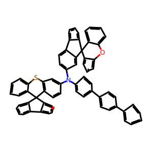 c1ccc(-c2ccc(-c3ccc(N(c4ccc5c(c4)Sc4ccccc4C54c5ccccc5-c5ccccc54)c4ccc5c(c4)C4(c6ccccc6Oc6ccccc64)c4ccccc4-5)cc3)cc2)cc1